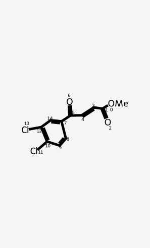 COC(=O)/C=C/C(=O)c1ccc(Cl)c(Cl)c1